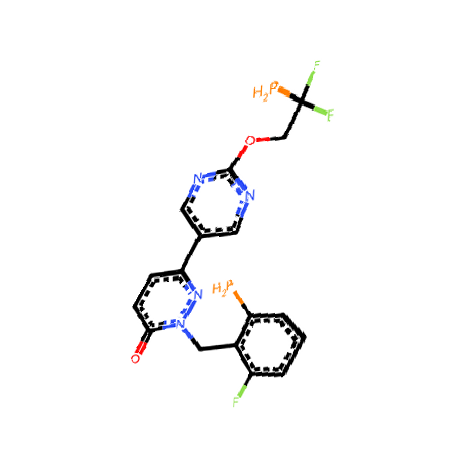 O=c1ccc(-c2cnc(OCC(F)(F)P)nc2)nn1Cc1c(F)cccc1P